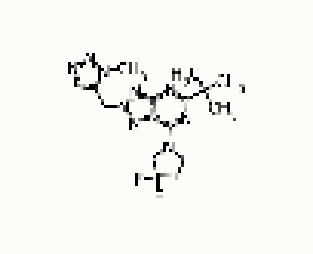 Cn1nncc1Cn1nc2nc(C(C)(C)C)nc(N3CCC(F)(F)C3)c2n1